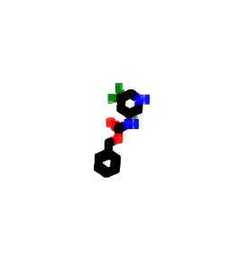 O=C(N[C@H]1CNCC(F)(F)C1)OCc1ccccc1